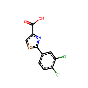 O=C(O)c1csc(-c2ccc(Cl)c(Cl)c2)n1